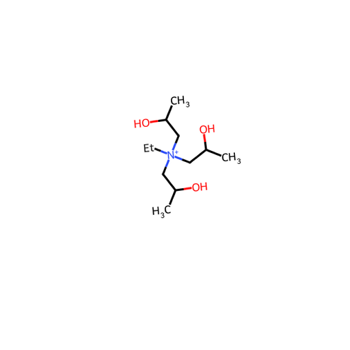 CC[N+](CC(C)O)(CC(C)O)CC(C)O